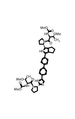 COC(=O)NC(C(=O)N1CCC[C@@H]1c1[nH]c(-c2ccc(-c3ccc(-c4cnc([C@@H]5CCCN5C(=O)[C@@H](NC(=O)OC)[C@@H](C)OC)[nH]4)cc3)cc2)c2c1CCC2)[C@@H](C)OC